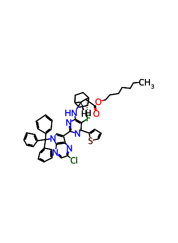 CCCCCCCOC(=O)[C@@H]1C2CCC(CC2)[C@H]1Nc1nc(-c2cn(C(c3ccccc3)(c3ccccc3)c3ccccc3)c3ncc(Cl)nc23)nc(-c2cccs2)c1F